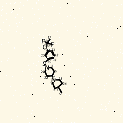 CC1CCN(C2CCN(Sc3cccc(OC(C)(F)F)c3)CC2)CC1